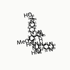 COc1cc(N2CCC3(CC2)CCN(C(C)(C)CO)CC3)c(-c2cnn(C)c2)cc1Nc1nc(Nc2ccc3nccnc3c2)c2cc[nH]c2n1